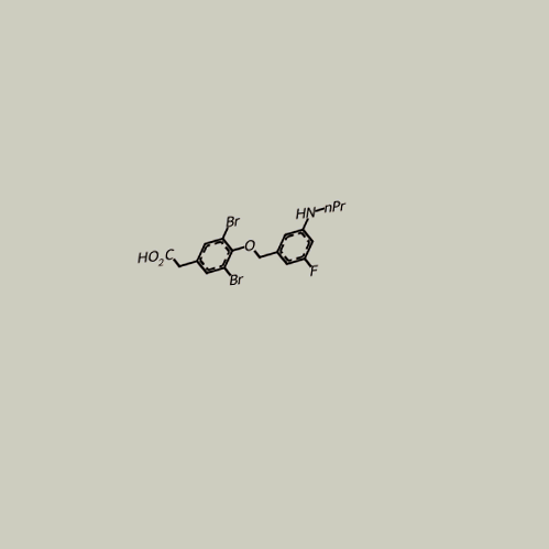 CCCNc1cc(F)cc(COc2c(Br)cc(CC(=O)O)cc2Br)c1